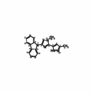 Cc1cc(-c2nc(-n3c4ccccc4c4ccccc43)cn2C)[nH]n1